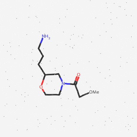 COCC(=O)N1CCOC(CCCN)C1